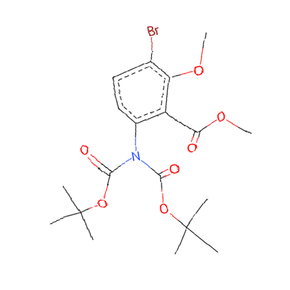 COC(=O)c1c(N(C(=O)OC(C)(C)C)C(=O)OC(C)(C)C)ccc(Br)c1OC